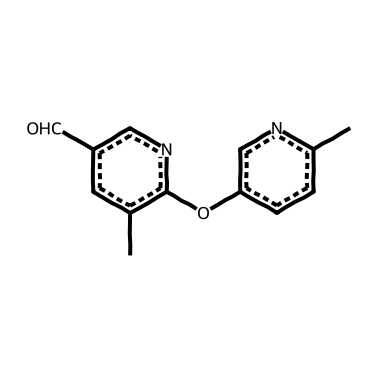 Cc1ccc(Oc2ncc(C=O)cc2C)cn1